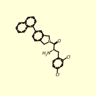 N[C@H](Cc1ccc(Cl)cc1Cl)C(=O)N1Cc2ccc(-c3cccc4ccccc34)cc2C1